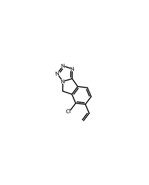 C=Cc1ccc2c(c1Cl)Cn1nnnc1-2